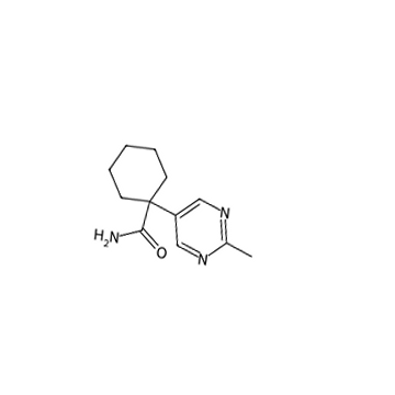 Cc1ncc(C2(C(N)=O)CCCCC2)cn1